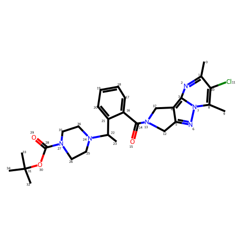 Cc1nc2c3c(nn2c(C)c1Cl)CN(C(=O)c1ccccc1C(C)N1CCN(C(=O)OC(C)(C)C)CC1)C3